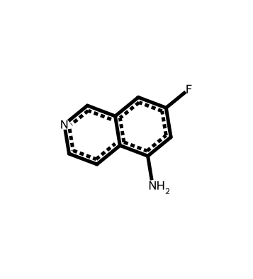 Nc1cc(F)cc2cnccc12